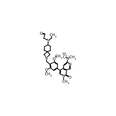 CCN(CC=O)C1CCC2(CC1)CN(Cc1c(OC)cc(-c3cn(C)c(=O)c4cnc(N(C)C)cc34)cc1OC)C2